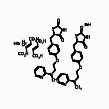 Br.Br.CN(CCOc1ccc(CC2SC(=O)NC2=O)cc1)c1ccccn1.CN(CCOc1ccc(CC2SC(=O)NC2=O)cc1)c1ccccn1.O.O=C(O)C=CC(=O)O.O=C(O)C=CC(=O)O